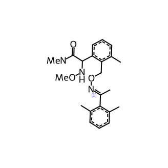 CNC(=O)C(NOC)c1cccc(C)c1CO/N=C(\C)c1c(C)cccc1C